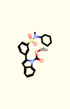 CN(C1CCCCC1)S(=O)(=O)c1cccc(-c2cc3ccccc3n2C(=O)OC(C)(C)C)c1